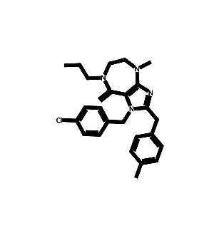 C=C1c2c(nc(Cc3ccc(C)cc3)n2Cc2ccc(Cl)cc2)N(C)CCN1CCC